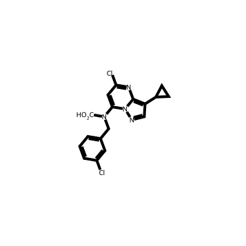 O=C(O)N(Cc1cccc(Cl)c1)c1cc(Cl)nc2c(C3CC3)cnn12